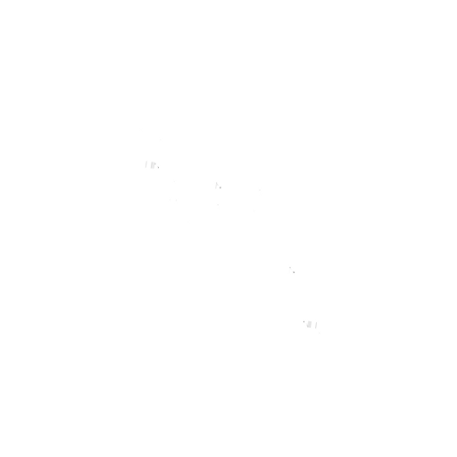 NCCNc1ccc(C(=O)NC2CCC(=O)NC2=O)c(C=O)c1